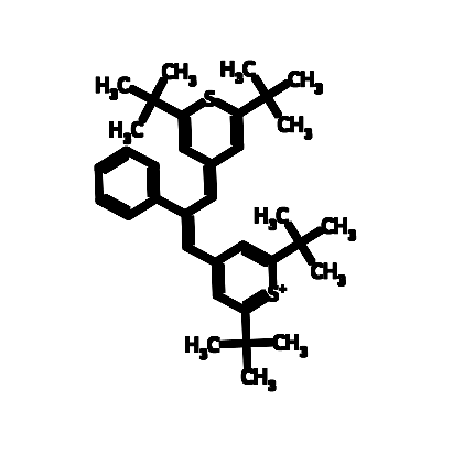 CC(C)(C)C1=CC(=C/C(=C\c2cc(C(C)(C)C)[s+]c(C(C)(C)C)c2)c2ccccc2)C=C(C(C)(C)C)S1